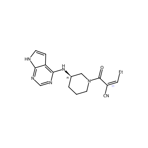 CC/C=C(/C#N)C(=O)N1CCC[C@@H](Nc2ncnc3[nH]ccc23)C1